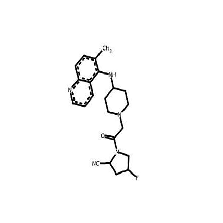 Cc1ccc2ncccc2c1NC1CCN(CC(=O)N2CC(F)CC2C#N)CC1